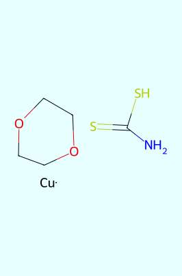 C1COCCO1.NC(=S)S.[Cu]